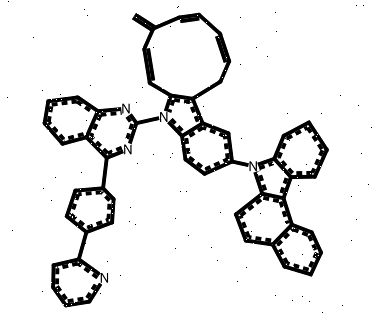 C=C1/C=C\C=C/Cc2c(n(-c3nc(-c4ccc(-c5ccccn5)cc4)c4ccccc4n3)c3ccc(-n4c5ccccc5c5c6ccccc6ccc54)cc23)/C=C\1